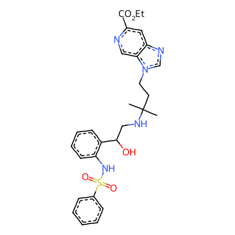 CCOC(=O)c1cc2ncn(CCC(C)(C)NCC(O)c3ccccc3NS(=O)(=O)c3ccccc3)c2cn1